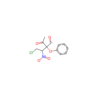 CC(=O)C([C]=O)(Oc1ccccc1)C(CCl)[N+](=O)[O-]